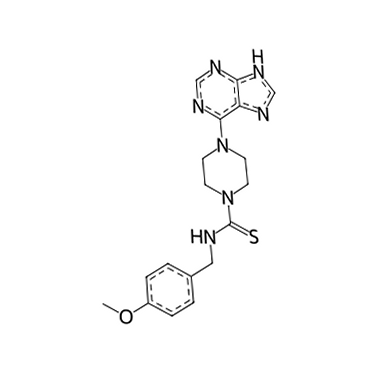 COc1ccc(CNC(=S)N2CCN(c3ncnc4[nH]cnc34)CC2)cc1